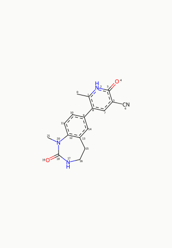 Cc1[nH]c(=O)c(C#N)cc1-c1ccc2c(c1)CCNC(=O)N2C